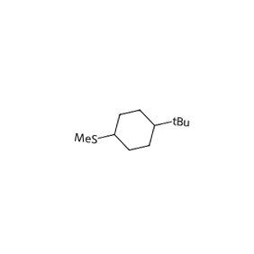 CSC1CCC(C(C)(C)C)CC1